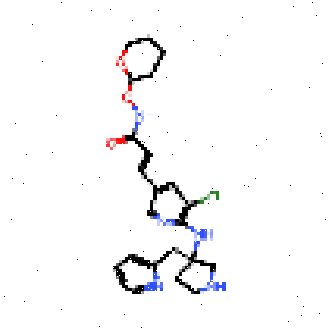 O=C(/C=C/c1cnc(N[C@@]2(Cc3ccccn3)CCNC2)c(Cl)c1)NOC1CCCCO1